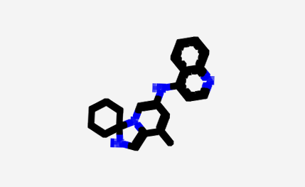 CC1=CC(Nc2ccnc3ccccc23)=CN2C1=CNC21CCCCC1